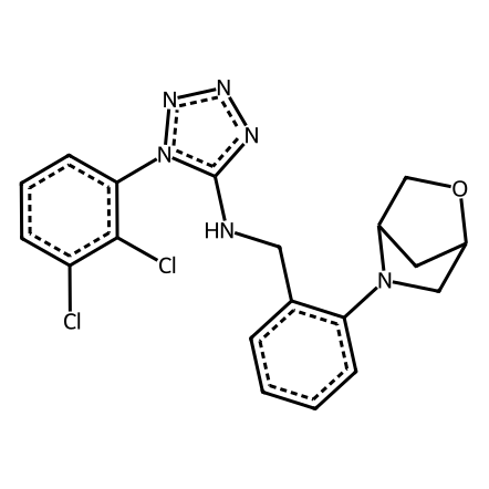 Clc1cccc(-n2nnnc2NCc2ccccc2N2CC3CC2CO3)c1Cl